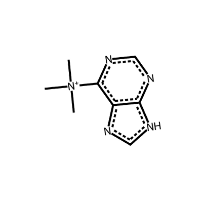 C[N+](C)(C)c1ncnc2[nH]cnc12